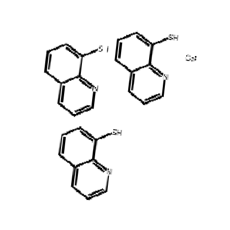 Sc1cccc2cccnc12.Sc1cccc2cccnc12.Sc1cccc2cccnc12.[Ga]